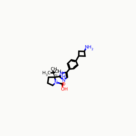 CC(C)(C)[C@]1(c2nc(-c3ccc(C4CC(N)C4)cc3)c[nH]2)CCCN1C(=O)O